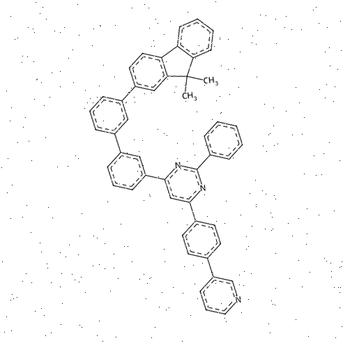 CC1(C)c2ccccc2-c2ccc(-c3cccc(-c4cccc(-c5cc(-c6ccc(-c7cccnc7)cc6)nc(-c6ccccc6)n5)c4)c3)cc21